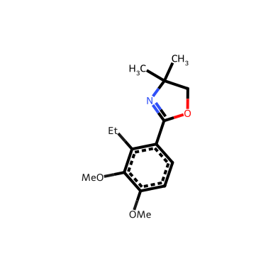 CCc1c(C2=NC(C)(C)CO2)ccc(OC)c1OC